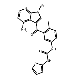 Cc1ccc(NC(=O)Nc2cccs2)cc1C(=O)c1cn(C(C)C)c2ncnc(N)c12